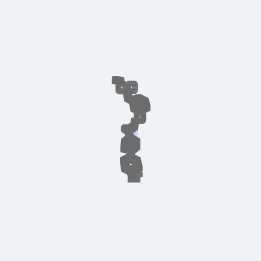 CCOC(=O)Cc1cccc(OC/C=C(\C)c2ccc(-c3ccc(Br)cc3)cc2)c1